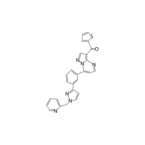 O=C(c1cccs1)c1cnn2c(-c3cccc(-c4ccn(Cc5ccccn5)n4)c3)ccnc12